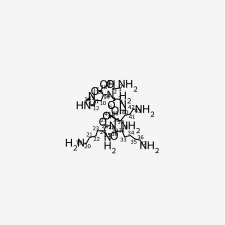 NCC(=O)N(C(=O)CN)C(Cc1c[nH]cn1)C(=O)O.NCCCCC(N)C(=O)N(C(=O)C(N)CCCCN)C(CCCCN)C(=O)O